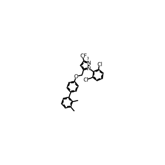 Cc1cccc(-c2ccc(OCc3cc(C(F)(F)F)nn3-c3c(Cl)cccc3Cl)cc2)c1C